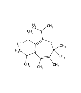 CC1=C(C)C(C)(C)SC(C(C)C)=C(C(C)C)N1C(C)C